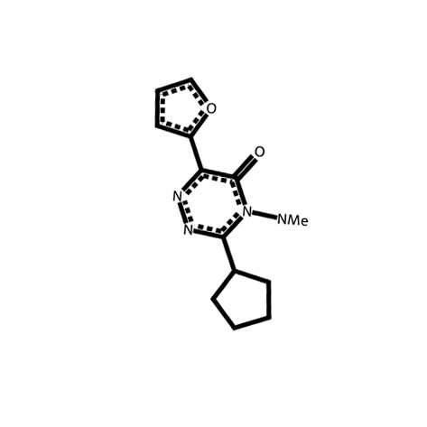 CNn1c(C2CCCC2)nnc(-c2ccco2)c1=O